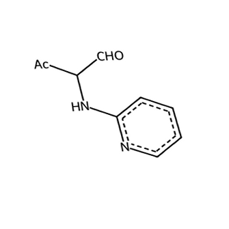 CC(=O)C(C=O)Nc1ccccn1